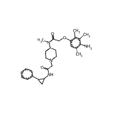 Cc1cc(OCC(=O)N(C)C2CCN(CC(=O)NC3CC3c3ccccc3)CC2)c(C)c(C)c1N